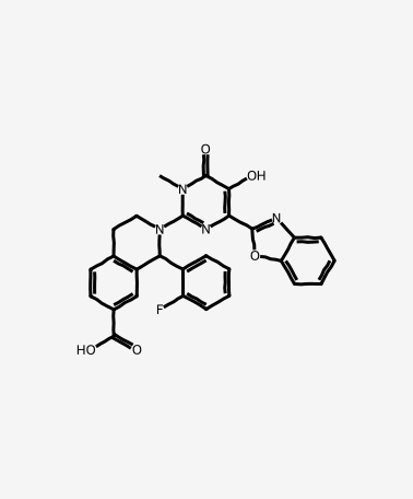 Cn1c(N2CCc3ccc(C(=O)O)cc3C2c2ccccc2F)nc(-c2nc3ccccc3o2)c(O)c1=O